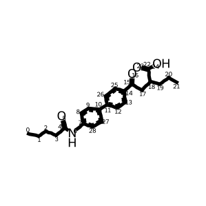 CCCCC(=O)Nc1ccc(-c2ccc(C(=O)CC(CCC)C(=O)O)cc2)cc1